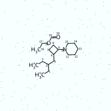 CCC(CC)CC1CCC1N1CCCCC1.CCOC=O